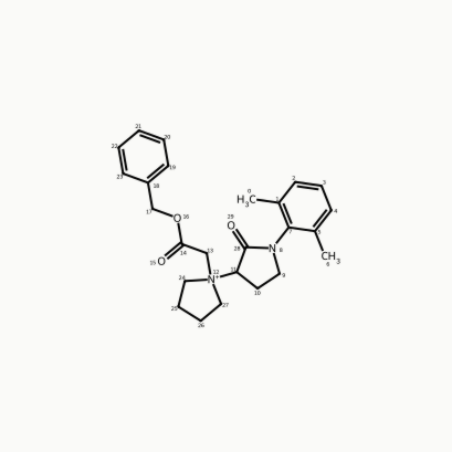 Cc1cccc(C)c1N1CCC([N+]2(CC(=O)OCc3ccccc3)CCCC2)C1=O